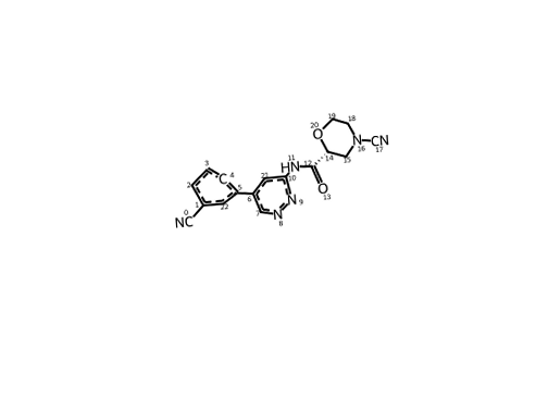 N#Cc1cccc(-c2cnnc(NC(=O)[C@H]3CN(C#N)CCO3)c2)c1